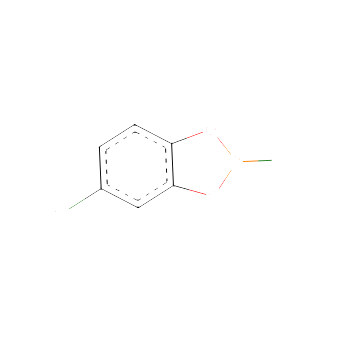 Clc1ccc2c(c1)OP(Cl)O2